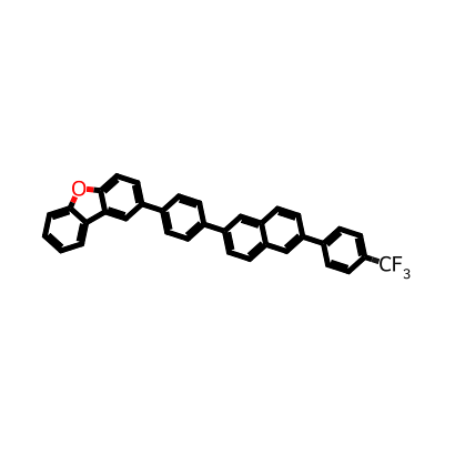 FC(F)(F)c1ccc(-c2ccc3cc(-c4ccc(-c5ccc6oc7ccccc7c6c5)cc4)ccc3c2)cc1